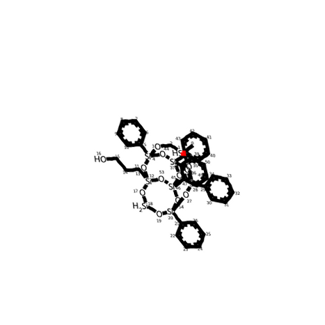 C[SiH]1CO[Si]2(c3ccccc3)O[Si]3(CCCO)O[SiH2]O[Si]4(c5ccccc5)O[Si](c5ccccc5)(O1)O[Si](c1ccccc1)(O2)O[Si](c1ccccc1)(O3)O4